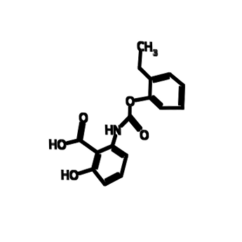 CCc1ccccc1OC(=O)Nc1cccc(O)c1C(=O)O